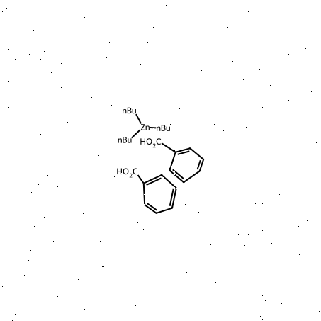 CCC[CH2][Zn]([CH2]CCC)[CH2]CCC.O=C(O)c1ccccc1.O=C(O)c1ccccc1